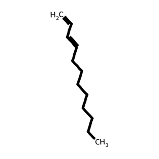 C=CC=CCCCCCCCC